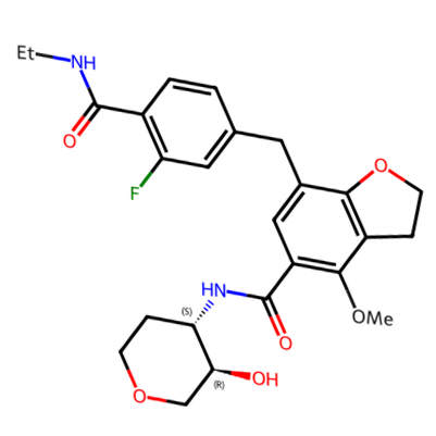 CCNC(=O)c1ccc(Cc2cc(C(=O)N[C@H]3CCOC[C@@H]3O)c(OC)c3c2OCC3)cc1F